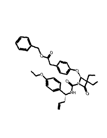 C=CC[C@@H](NC(=O)N1C(=O)C(CC)(CC)[C@@H]1Oc1ccc(CC(=O)OCc2ccccc2)cc1)c1ccc(OCC)cc1